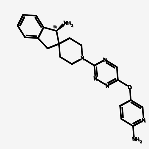 Nc1ccc(Oc2cnc(N3CCC4(CC3)Cc3ccccc3[C@H]4N)nn2)cn1